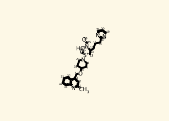 Cc1cc(COC2CCN([S+]([O-])CC(CCCc3ncccn3)N(O)C=O)CC2)c2ccccc2n1